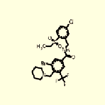 CCS(=O)(=O)c1ccc(Cl)cc1CNC(=O)c1cc(Br)c(CN2CCCCC2)c(C(F)(F)F)c1